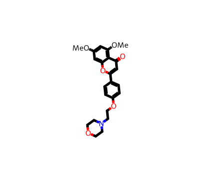 COc1cc(OC)c2c(=O)cc(-c3ccc(OCCN4CCOCC4)cc3)oc2c1